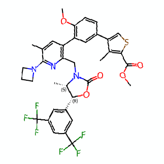 COC(=O)c1scc(-c2ccc(OC)c(-c3cc(C)c(N4CCC4)nc3CN3C(=O)O[C@H](c4cc(C(F)(F)F)cc(C(F)(F)F)c4)[C@@H]3C)c2)c1C